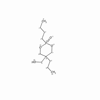 CCCCP1(=O)OCC(CO)(CCC)CO1